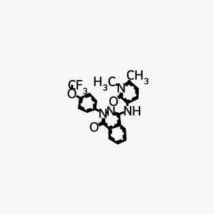 Cc1ccc(Nc2nn(-c3ccc(OC(F)(F)F)cc3)c(=O)c3ccccc23)c(=O)n1C